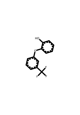 Oc1ccccc1Oc1cccc(C(F)(F)F)c1